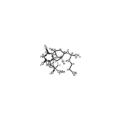 COP(=O)(C[C@@H]1c2c(C)c(=O)[nH]c(=O)n2[C@H]2CC(OP(C)OCCC#N)[C@@H]1O2)OC